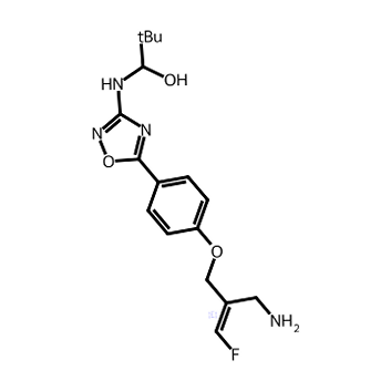 CC(C)(C)C(O)Nc1noc(-c2ccc(OC/C(=C/F)CN)cc2)n1